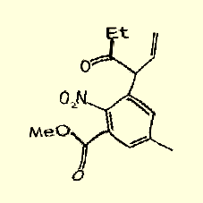 C=CC(C(=O)CC)c1cc(C)cc(C(=O)OC)c1[N+](=O)[O-]